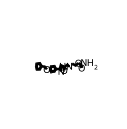 NC(=O)OCCNCc1cc(-c2ccc(OCc3ccccc3)cc2)no1